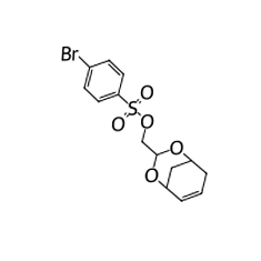 O=S(=O)(OCC1OC2C=CCC(C2)O1)c1ccc(Br)cc1